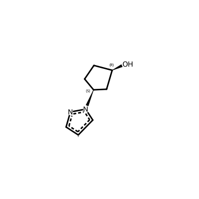 O[C@@H]1CC[C@H](n2c[c]cn2)C1